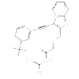 N=C(N)NC(=O)COCc1nc2ccccn2c1C#Cc1cccc(C(F)(F)F)c1